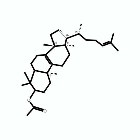 CC(=O)OC1CC[C@]2(C)C3=C(CCC2C1(C)C)[C@]1(C)CC[C@H]([C@H](C)CCC=C(C)C)[C@@]1(C)CC3